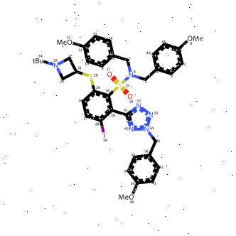 COc1ccc(CN(Cc2ccc(OC)cc2)S(=O)(=O)c2c(SC3CN(C(C)(C)C)C3)ccc(I)c2-c2nnn(Cc3ccc(OC)cc3)n2)cc1